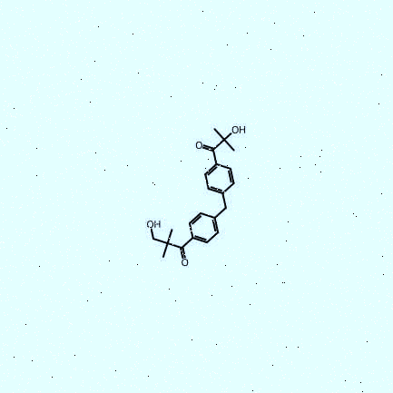 CC(C)(O)C(=O)c1ccc(Cc2ccc(C(=O)C(C)(C)CO)cc2)cc1